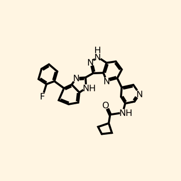 O=C(Nc1cncc(-c2ccc3[nH]nc(-c4nc5c(-c6ccccc6F)cccc5[nH]4)c3n2)c1)C1CCC1